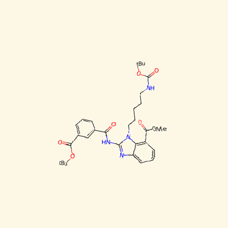 COC(=O)c1cccc2nc(NC(=O)c3cccc(C(=O)OC(C)(C)C)c3)n(CCCCCNC(=O)OC(C)(C)C)c12